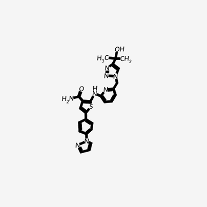 CC(C)(O)c1cn(Cc2cccc(Nc3sc(-c4ccc(-n5cccn5)cc4)cc3C(N)=O)n2)nn1